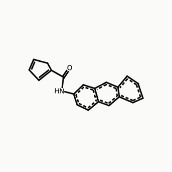 O=C(Nc1ccc2cc3ccccc3cc2c1)C1=CC=CC1